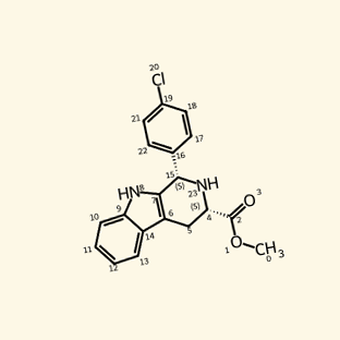 COC(=O)[C@@H]1Cc2c([nH]c3ccccc23)[C@H](c2ccc(Cl)cc2)N1